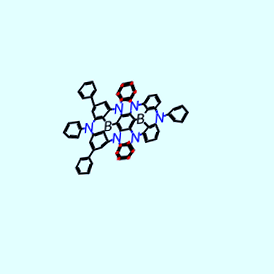 c1ccc(-c2cc3c4c(c2)N(c2ccccc2)c2c5c(c6c7c2N(c2ccccc2)c2cccc8c2B7c2c(cccc2N6c2ccccc2)N8c2ccccc2)N(c2ccccc2)c2cc(-c6ccccc6)cc(c2B45)N3c2ccccc2)cc1